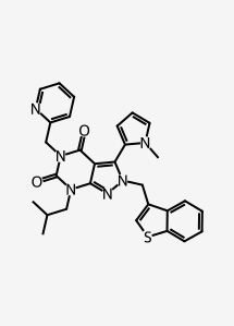 CC(C)Cn1c(=O)n(Cc2ccccn2)c(=O)c2c(-c3cccn3C)n(Cc3csc4ccccc34)nc21